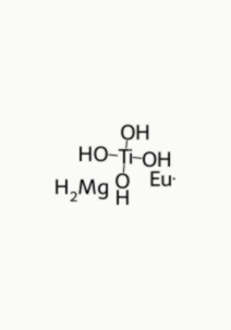 [Eu].[MgH2].[OH][Ti]([OH])([OH])[OH]